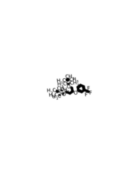 CC(C)(C)[Si](C)(C)OCCC(CO[Si](C)(C)C(C)(C)C)Oc1cccc(C(F)(F)F)c1